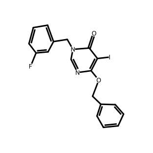 O=c1c(I)c(OCc2ccccc2)ncn1Cc1cccc(F)c1